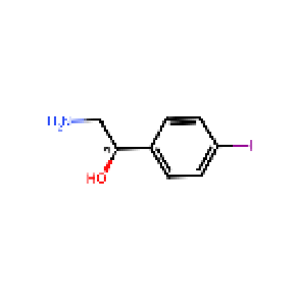 NC[C@H](O)c1ccc(I)cc1